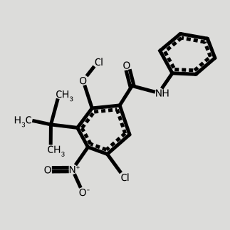 CC(C)(C)c1c(OCl)c(C(=O)Nc2ccccc2)cc(Cl)c1[N+](=O)[O-]